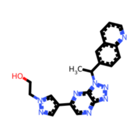 CC(c1ccc2ncccc2c1)n1nnc2ncc(-c3cnn(CCO)c3)nc21